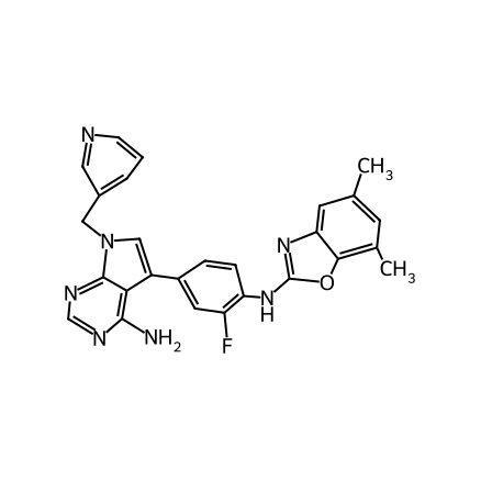 Cc1cc(C)c2oc(Nc3ccc(-c4cn(Cc5cccnc5)c5ncnc(N)c45)cc3F)nc2c1